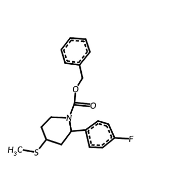 CSC1CCN(C(=O)OCc2ccccc2)C(c2ccc(F)cc2)C1